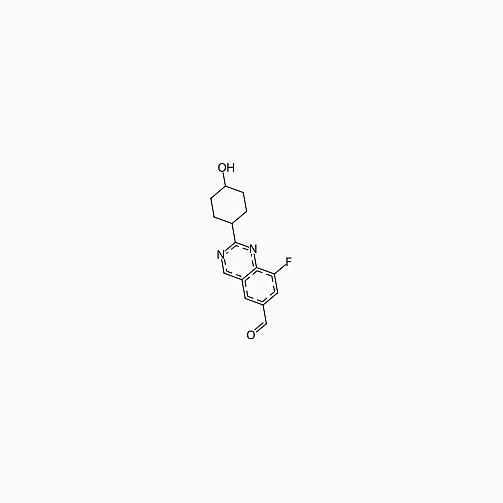 O=Cc1cc(F)c2nc(C3CCC(O)CC3)ncc2c1